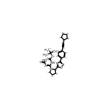 CC(C)(C)OC(=O)N/C(=N\C(=O)O)N1CCCC1c1nc(-c2ccc(C#CC3CCCC3)cc2)no1